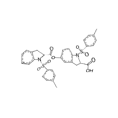 Cc1ccc(S(=O)(=O)N2c3ccc(OC(=O)[C@H]4Cc5ccccc5N4S(=O)(=O)c4ccc(C)cc4)cc3CC2C(=O)O)cc1